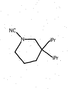 CC(C)C1(C(C)C)CCCN(C#N)C1